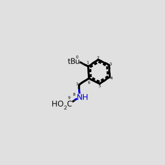 CC(C)(C)c1ccccc1CNC(=O)O